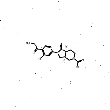 COC(=O)c1ccc(N2C[C@@H]3CN(C(=O)O)CC[C@@H]3C2=O)cc1Cl